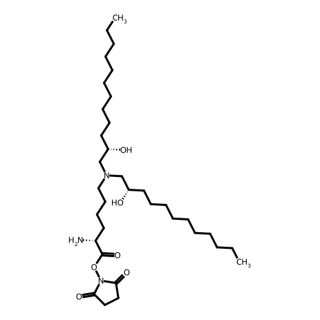 CCCCCCCCCC[C@H](O)CN(CCCC[C@@H](N)C(=O)ON1C(=O)CCC1=O)C[C@@H](O)CCCCCCCCCC